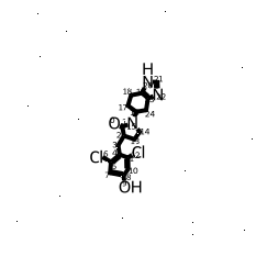 O=C1C(Cc2c(Cl)cc(O)cc2Cl)CCN1C1CCc2[nH]cnc2C1